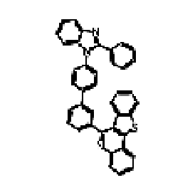 c1ccc(-c2nc3ccccc3n2-c2ccc(-c3cccc(-c4nc5ccccc5c5sc6ccccc6c45)c3)cc2)cc1